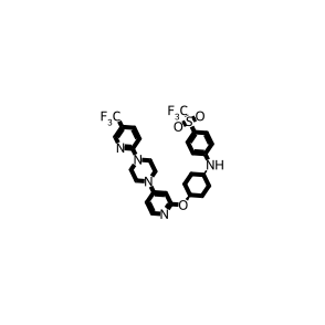 O=S(=O)(c1ccc(N[C@H]2CC[C@H](Oc3cc(N4CCN(c5ccc(C(F)(F)F)cn5)CC4)ccn3)CC2)cc1)C(F)(F)F